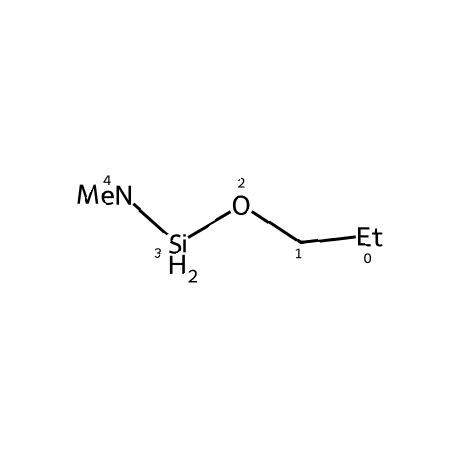 CCCO[SiH2]NC